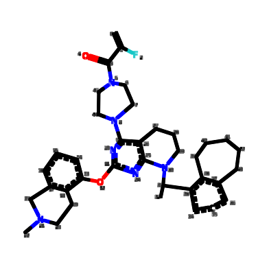 C=C(F)C(=O)N1CCN(c2nc(Oc3cccc4c3CCN(C)C4)nc3c2CCCN3C(C)c2cccc3c2CCCCC3)CC1